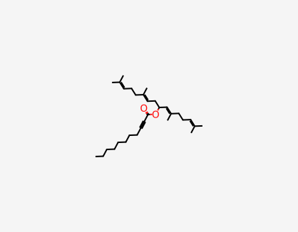 CCCCCCCCC#CC(=O)OC(/C=C(\C)CCC=C(C)C)C/C=C(\C)CCC=C(C)C